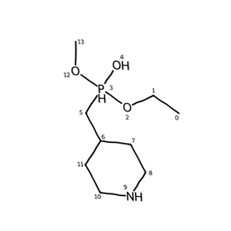 CCO[PH](O)(CC1CCNCC1)OC